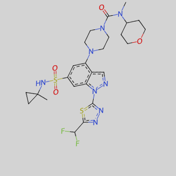 CN(C(=O)N1CCN(c2cc(S(=O)(=O)NC3(C)CC3)cc3c2cnn3-c2nnc(C(F)F)s2)CC1)C1CCOCC1